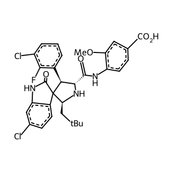 COc1cc(C(=O)O)ccc1NC(=O)[C@@H]1N[C@@H](CC(C)(C)C)C2(C(=O)Nc3cc(Cl)ccc32)[C@H]1c1cccc(Cl)c1F